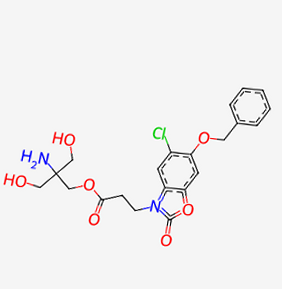 NC(CO)(CO)COC(=O)CCn1c(=O)oc2cc(OCc3ccccc3)c(Cl)cc21